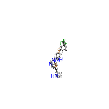 FC(F)(F)c1cccc(Sc2ccc(Nc3ncnc4cc(C#CC5CCCN5)sc34)cc2)c1